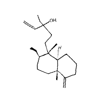 C=CC(C)(O)CC[C@@]1(C)[C@H](C)CC[C@@]2(C)C(=C)CCC[C@H]12